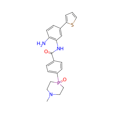 CN1CCP(=O)(c2ccc(C(=O)Nc3cc(-c4cccs4)ccc3N)cc2)CC1